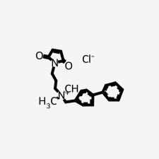 C[N+](C)(CCCN1C(=O)C=CC1=O)Cc1ccc(-c2ccccc2)cc1.[Cl-]